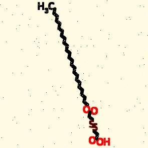 CCCCCCCCCCCCCCCCCCCCCCCCCCCCOC(=O)CCSSCCC(=O)O